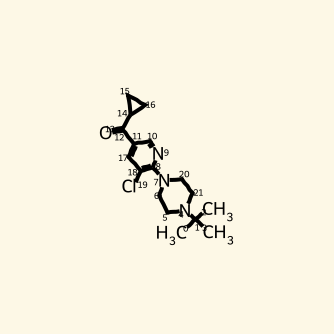 CC(C)(C)N1CCN(c2ncc(C(=O)C3CC3)cc2Cl)CC1